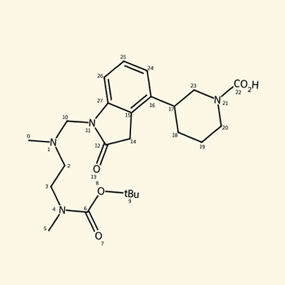 CN(CCN(C)C(=O)OC(C)(C)C)CN1C(=O)Cc2c(C3CCCN(C(=O)O)C3)cccc21